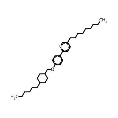 CCCCCCCCCc1ccc(-c2ccc(OCC3CCC(CCCCCC)CC3)cc2)nc1